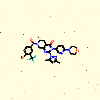 Cc1cc(C)n(-c2nc3c(c(=O)n2-c2ccc(N4CCOCC4)nc2)C[C@@H](C)N(C(=O)c2ccc(Br)c(C(F)(F)F)c2)C3)n1